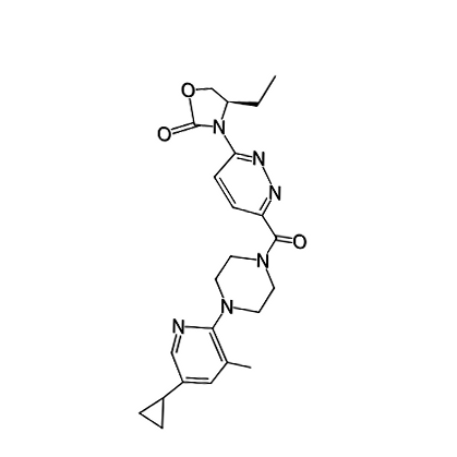 CC[C@@H]1COC(=O)N1c1ccc(C(=O)N2CCN(c3ncc(C4CC4)cc3C)CC2)nn1